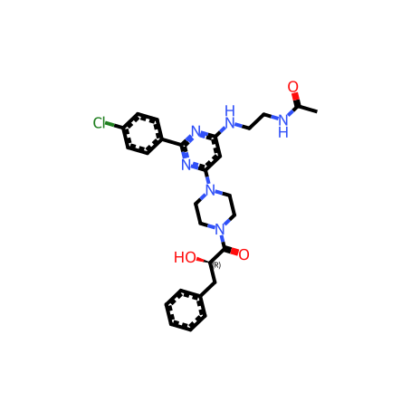 CC(=O)NCCNc1cc(N2CCN(C(=O)[C@H](O)Cc3ccccc3)CC2)nc(-c2ccc(Cl)cc2)n1